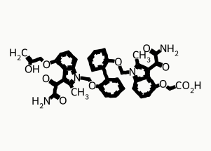 C=C(O)COc1cccc2c1c(C(=O)C(N)=O)c(C)n2COc1ccccc1-c1ccccc1OCn1c(C)c(C(=O)C(N)=O)c2c(OCC(=O)O)cccc21